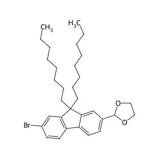 CCCCCCCCC1(CCCCCCCC)c2cc(Br)ccc2-c2ccc(C3OCCO3)cc21